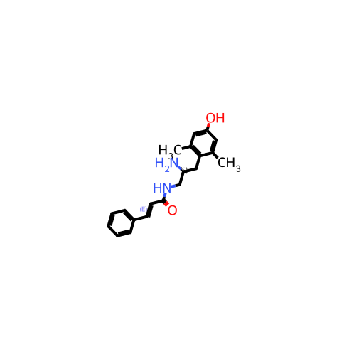 Cc1cc(O)cc(C)c1C[C@H](N)CNC(=O)/C=C/c1ccccc1